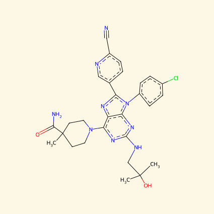 CC(C)(O)CNc1nc(N2CCC(C)(C(N)=O)CC2)c2nc(-c3ccc(C#N)nc3)n(-c3ccc(Cl)cc3)c2n1